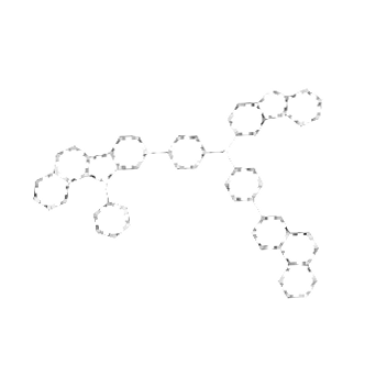 c1ccc(-n2c3cc(-c4ccc(N(c5ccc(-c6ccc7c(ccc8ccccc87)c6)cc5)c5ccc6sc7ccccc7c6c5)cc4)ccc3c3ccc4ccccc4c32)cc1